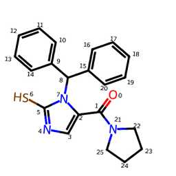 O=C(c1cnc(S)n1C(c1ccccc1)c1ccccc1)N1CCCC1